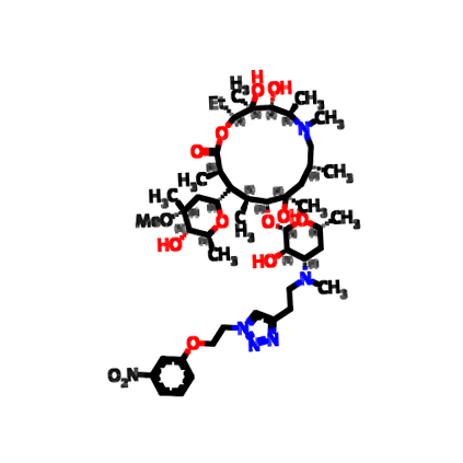 CC[C@H]1OC(=O)[C@H](C)C([C@H]2C[C@@](C)(OC)[C@@H](O)[C@H](C)O2)[C@H](C)[C@@H](O[C@@H]2O[C@H](C)C[C@H](N(C)CCc3cn(CCOc4cccc([N+](=O)[O-])c4)nn3)[C@H]2O)[C@](C)(O)C[C@@H](C)CN(C)[C@H](C)[C@@H](O)[C@]1(C)O